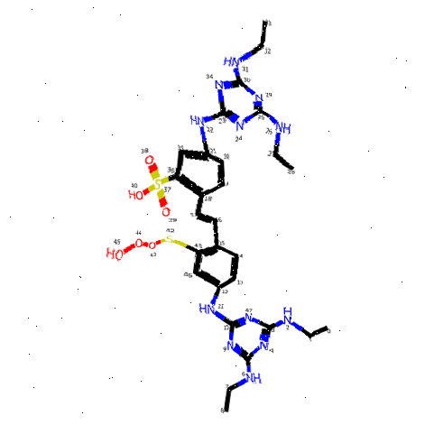 CCNc1nc(NCC)nc(Nc2ccc(/C=C/c3ccc(Nc4nc(NCC)nc(NCC)n4)cc3S(=O)(=O)O)c(SOOO)c2)n1